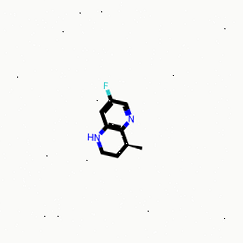 C[C@H]1CCNc2cc(F)cnc21